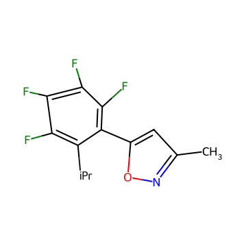 Cc1cc(-c2c(F)c(F)c(F)c(F)c2C(C)C)on1